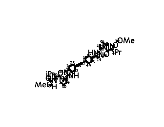 COCON[C@H](C(=O)N1CSC[C@H]1c1ncc(-c2ccc(C#Cc3ccc4nc([C@@H]5CCCN5C(=O)[C@@H](NC(=O)OC)C(C)C)[nH]c4c3)cc2)[nH]1)C(C)C